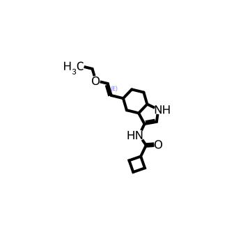 CCO/C=C/C1CCC2NC=C(NC(=O)C3CCC3)C2C1